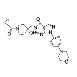 O=C(C1CC1)N1CCC(O)(Cn2cnc3c(cnn3-c3ccc(N4CCOCC4)cc3)c2=O)CC1